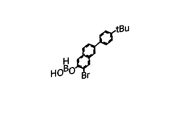 CC(C)(C)c1ccc(-c2ccc3cc(OBO)c(Br)cc3c2)cc1